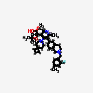 Cc1ccc(CN2CCc3cc(-c4c(C)nc(C)c(C(OC(C)(C)C)C(=O)O)c4N4CCC5(CCC5)CC4)ccc3C2)c(F)c1